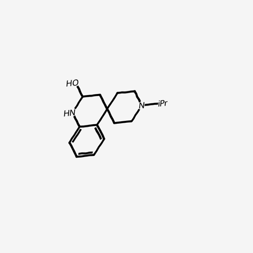 CC(C)N1CCC2(CC1)CC(O)Nc1ccccc12